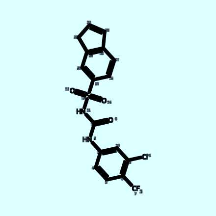 O=C(Nc1ccc(C(F)(F)F)c(Cl)c1)NS(=O)(=O)c1ccc2c(c1)CC=C2